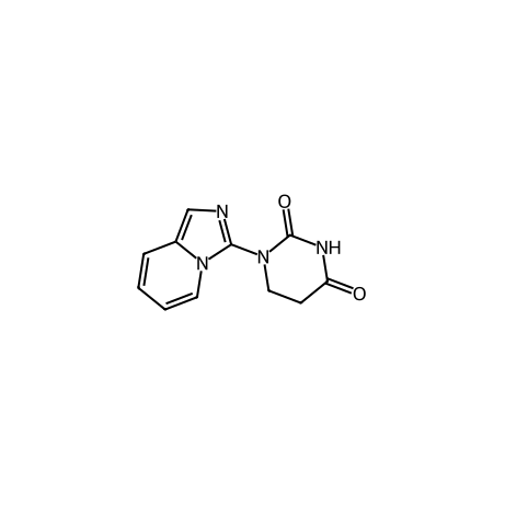 O=C1CCN(c2ncc3ccccn23)C(=O)N1